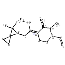 CN/C(CN1C(F)(F)C12CC2)=C1/CCN(C=O)C(C)C1=N